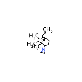 C=CC[Si]1(CC)CCCC(N2CC2)C1(C)CC